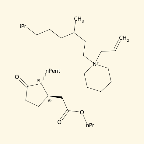 C=CC[N+]1(CCC(C)CCCC(C)C)CCCCC1.CCCCC[C@H]1C(=O)CC[C@@H]1CC(=O)OCCC